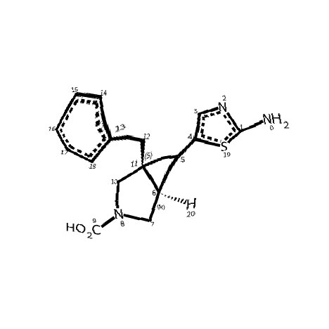 Nc1ncc(C2[C@H]3CN(C(=O)O)C[C@]23Cc2ccccc2)s1